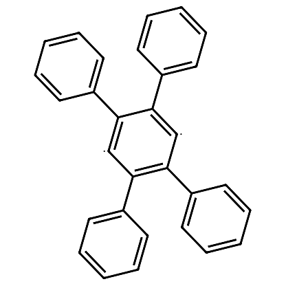 [c]1c(-c2ccccc2)c(-c2ccccc2)[c]c(-c2ccccc2)c1-c1ccccc1